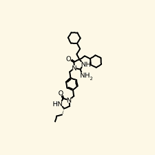 CCC[C@H]1CN(Cc2ccc(CN3C(=O)C(CCC4CCCCC4)(CC4CCCCC4)NC3N)cc2)C(=O)N1